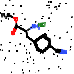 COC(=O)[C@H](N)Cc1ccc(C#N)cc1.Cl